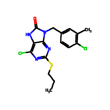 CCCSc1nc(Cl)c2[nH]c(=O)n(Cc3ccc(Cl)c(C)c3)c2n1